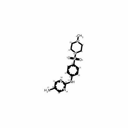 CN1CCN(S(=O)(=O)c2ccc(Nc3ncc(N)cn3)cc2)CC1